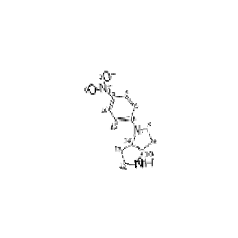 O=[N+]([O-])c1ccc(N2CCC3NCCC32)cc1